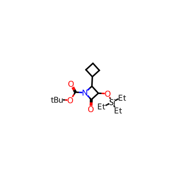 CC[Si](CC)(CC)OC1C(=O)N(C(=O)OC(C)(C)C)C1C1CCC1